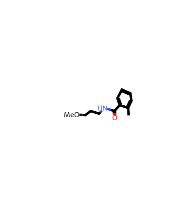 COCCCNC(=O)c1ccccc1C